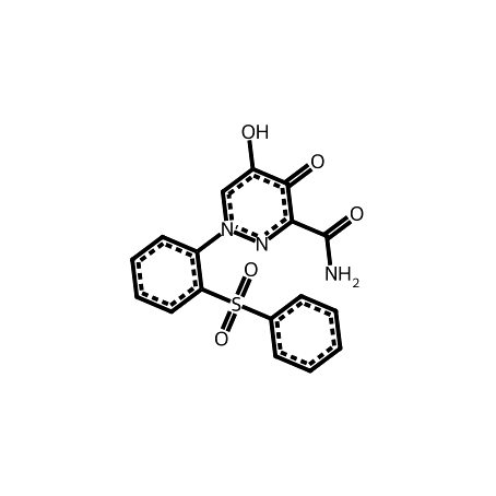 NC(=O)c1nn(-c2ccccc2S(=O)(=O)c2ccccc2)cc(O)c1=O